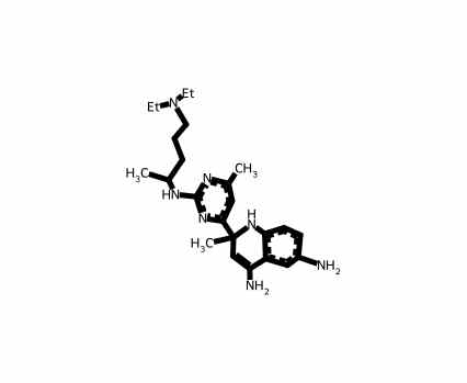 CCN(CC)CCCC(C)Nc1nc(C)cc(C2(C)C=C(N)c3cc(N)ccc3N2)n1